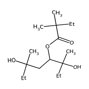 CCC(C)(O)CC(OC(=O)C(C)(C)CC)C(C)(O)CC